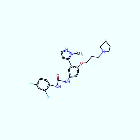 Cn1nccc1-c1cc(NC(=O)Nc2ccc(F)cc2F)ccc1OCCCN1CCCC1